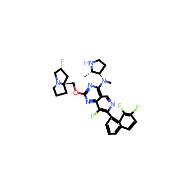 C[C@@H]1NCC[C@@H]1N(C)c1nc(OC[C@@]23CCCN2C[C@H](F)C3)nc2c(F)c(-c3cccc4ccc(F)c(F)c34)ncc12